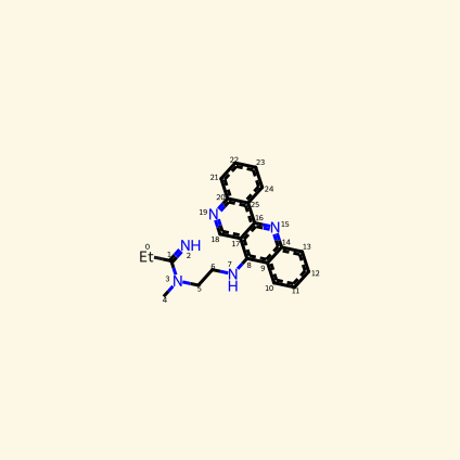 CCC(=N)N(C)CCNc1c2ccccc2nc2c1cnc1ccccc12